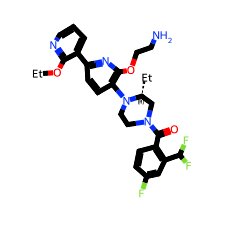 CCOc1ncccc1-c1ccc(N2CCN(C(=O)c3ccc(F)cc3C(F)F)C[C@H]2CC)c(OCCN)n1